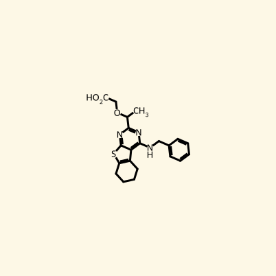 CC(OCC(=O)O)c1nc(NCc2ccccc2)c2c3c(sc2n1)CCCC3